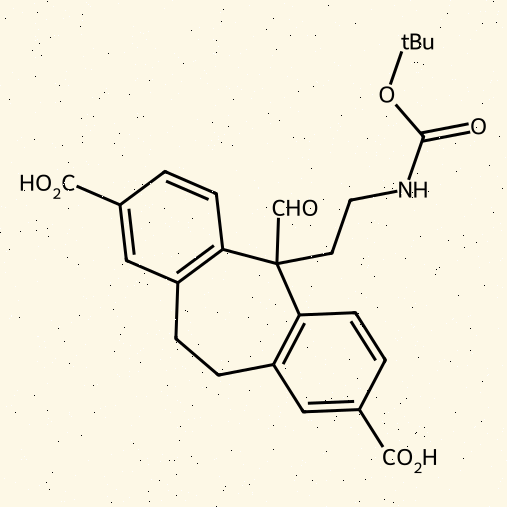 CC(C)(C)OC(=O)NCCC1(C=O)c2ccc(C(=O)O)cc2CCc2cc(C(=O)O)ccc21